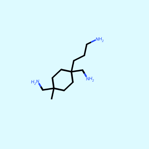 CC1(CN)CCC(CN)(CCCN)CC1